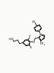 CCc1ccc(-n2ccc(C(F)(F)F)c2COc2c(F)cc(CCCO)cc2F)cc1